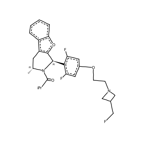 CC(C)C(=O)N1[C@H](c2c(F)cc(OCCN3CC(CF)C3)cc2F)c2oc3ccccc3c2C[C@H]1C